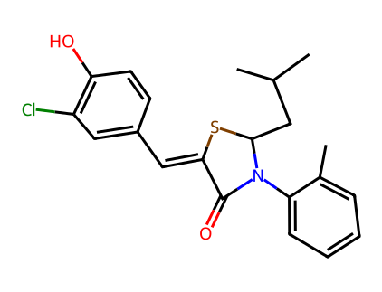 Cc1ccccc1N1C(=O)/C(=C/c2ccc(O)c(Cl)c2)SC1CC(C)C